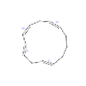 [CH]1C/C=C\C/C=C\C=C\C/C=C/C1